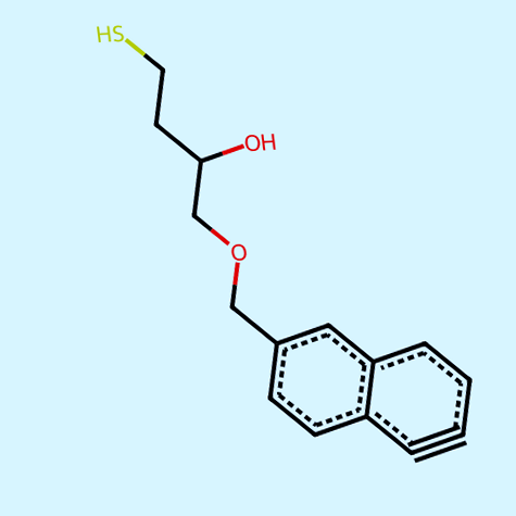 OC(CCS)COCc1ccc2c#cccc2c1